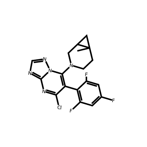 CC12CCN(c3c(-c4c(F)cc(F)cc4F)c(Cl)nc4ncnn34)CC1C2